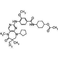 COc1cc(C(=O)NC2CCC(OC(C)=O)CC2)ccc1Nc1ncc2c(n1)N(C1CCCC1)CC(C)(C)C(=O)N2C